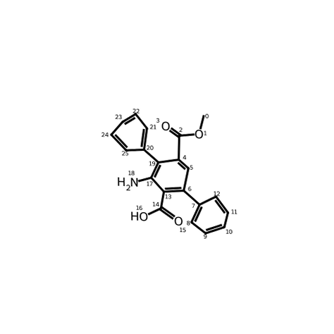 COC(=O)c1cc(-c2ccccc2)c(C(=O)O)c(N)c1-c1ccccc1